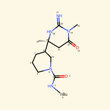 CCCCNC(=O)N1CCCC([C@]2(C)CC(=O)N(C)C(=N)N2)C1